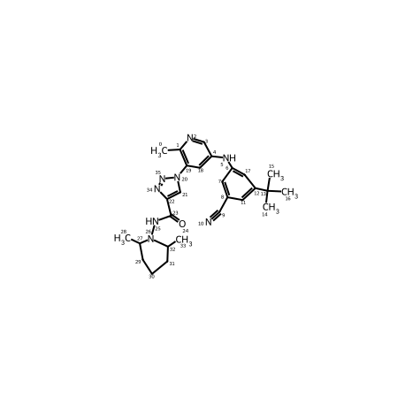 Cc1ncc(Nc2cc(C#N)cc(C(C)(C)C)c2)cc1-n1cc(C(=O)NN2C(C)CCCC2C)nn1